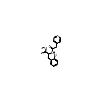 COC(=O)C(Cc1ccccc1Cl)NC(=O)Cc1ccncc1